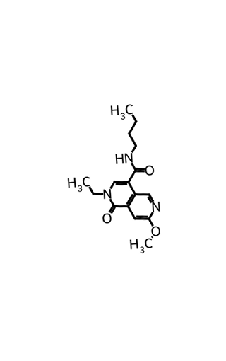 CCCCNC(=O)c1cn(CC)c(=O)c2cc(OC)ncc12